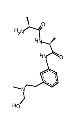 C[C@H](N)C(=O)N[C@@H](C)C(=O)Nc1cccc(CCN(C)CO)c1